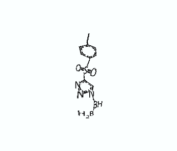 BBn1cc(S(=O)(=O)c2ccc(C)cc2)nn1